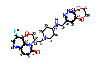 O=c1ccc2ncc(F)c3c2n1[C@H](CN1CCC(NCc2cc4c(nn2)OCCO4)CC1)CO3